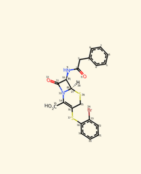 O=C(Cc1ccccc1)N[C@@H]1C(=O)N2C(C(=O)O)=C(Sc3ccccc3Br)CS[C@H]12